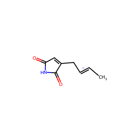 C/C=C/CC1=CC(=O)NC1=O